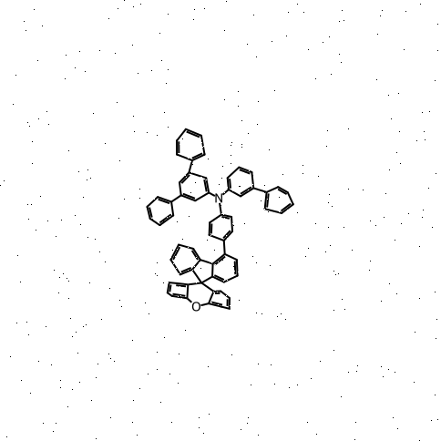 c1ccc(-c2cccc(N(c3ccc(-c4cccc5c4-c4ccccc4C54c5ccccc5Oc5ccccc54)cc3)c3cc(-c4ccccc4)cc(-c4ccccc4)c3)c2)cc1